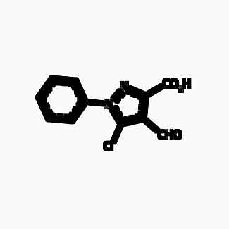 O=Cc1c(C(=O)O)nn(-c2ccccc2)c1Cl